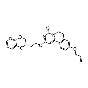 C=CCOc1ccc2c(c1)CCn1c-2cc(OCC[C@H]2COc3ncccc3O2)nc1=O